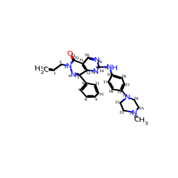 C=CCn1nc(-c2ccccc2)c2nc(Nc3ccc(N4CCN(C)CC4)cc3)ncc2c1=O